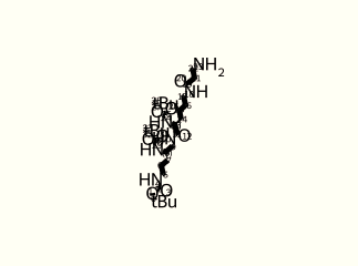 CC(C)(C)OC(=O)NCCC[C@@H](CNC(=O)[C@H](CCCCNC(=O)CCN)NC(=O)OC(C)(C)C)NC(=O)OC(C)(C)C